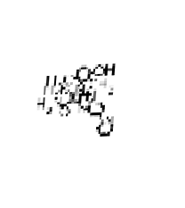 Cc1ccc(O)c(C)c1-n1c(N)c(C(N)=O)c2nc3cc(-c4ccccn4)ccc3nc21